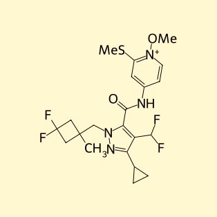 CO[n+]1ccc(NC(=O)c2c(C(F)F)c(C3CC3)nn2CC2(C)CC(F)(F)C2)cc1SC